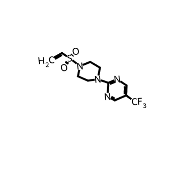 C=CS(=O)(=O)N1CCN(c2ncc(C(F)(F)F)cn2)CC1